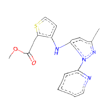 COC(=O)c1sccc1Nc1cc(C)nn1-c1ccccn1